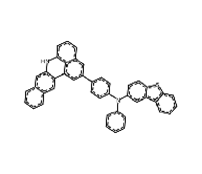 c1ccc(N(c2ccc(-c3cc4c5c(cccc5c3)Nc3cc5ccccc5cc3-4)cc2)c2ccc3sc4ccccc4c3c2)cc1